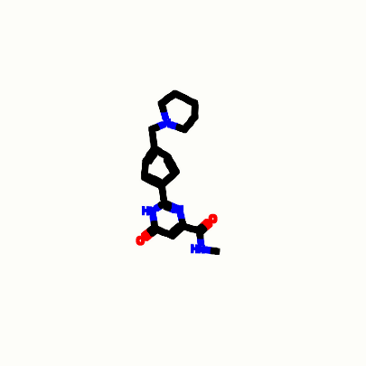 CNC(=O)c1cc(=O)[nH]c(-c2ccc(CN3CCCCC3)cc2)n1